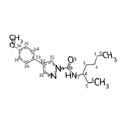 CCCCC(CC)NC(=O)n1cc(-c2ccc(OC)cc2)cn1